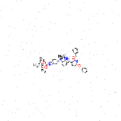 CN(c1cccc2c(-c3ccc(OCc4ccccc4)nc3OCc3ccccc3)nn(C)c12)C1CCC2(CC1)CN(C(=O)OC(C)(C)C)C2